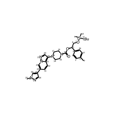 Cc1ccc(C(CO[Si](C)(C)C(C)(C)C)OC(=O)N2CCN(c3cnn4cc(-c5cnn(C)c5)ccc34)CC2)cc1